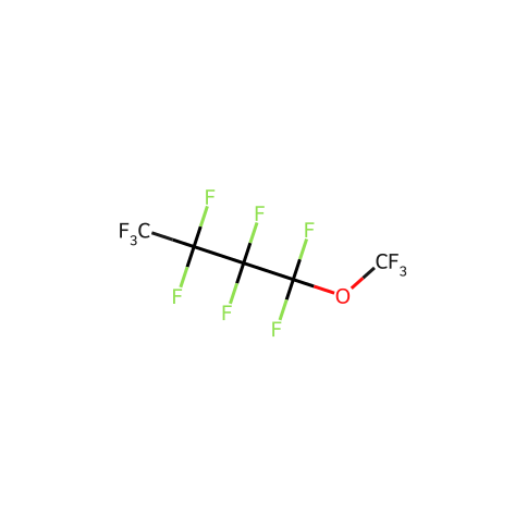 FC(F)(F)OC(F)(F)C(F)(F)C(F)(F)C(F)(F)F